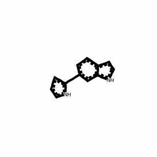 c1c[nH]c(-c2ccc3cc[nH]c3c2)c1